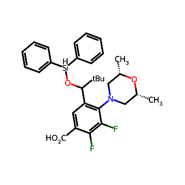 C[C@@H]1CN(c2c(C(O[SiH](c3ccccc3)c3ccccc3)C(C)(C)C)cc(C(=O)O)c(F)c2F)C[C@H](C)O1